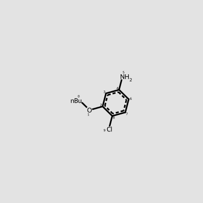 CCCCOc1cc(N)ccc1Cl